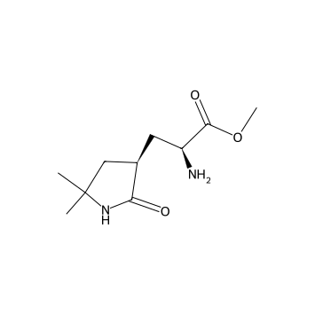 COC(=O)[C@@H](N)C[C@@H]1CC(C)(C)NC1=O